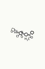 CC(=O)N(c1ccccc1)c1ccc(-n2ncc(NC[C@@H]3CCCOC3)c(Cl)c2=O)cc1